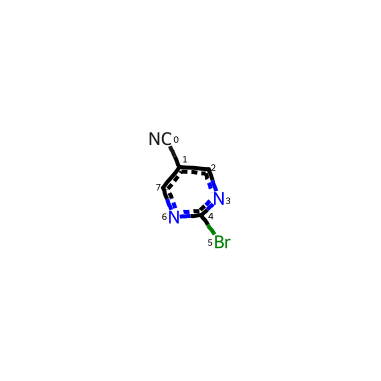 N#Cc1cnc(Br)nc1